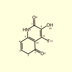 O=C1CC=Cc2[nH]c(=O)c(O)c(F)c21